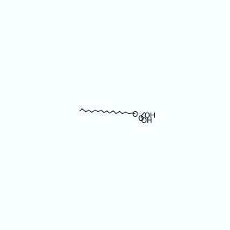 CCCCCCCCCCCCCCCCCCOC[C@H](CO)OO